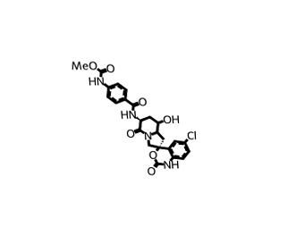 COC(=O)Nc1ccc(C(=O)N[C@H]2CC(O)C3C[C@@]4(CN3C2=O)OC(=O)Nc2ccc(Cl)cc24)cc1